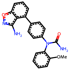 COc1ccccc1N(C(N)=O)c1ccc(-c2cccc3onc(N)c23)cc1